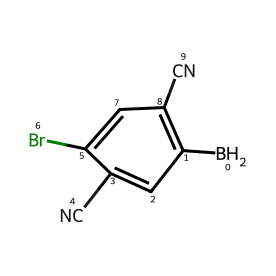 Bc1cc(C#N)c(Br)cc1C#N